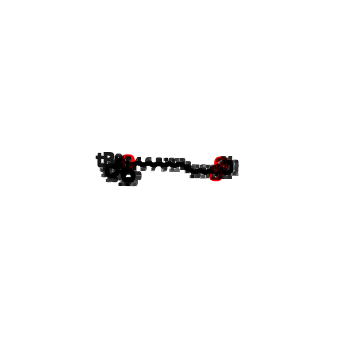 CC(C)(C)[Si](OCCCCCCCCCCC#CCCCCOC1CCCCO1)(c1ccccc1)c1ccccc1